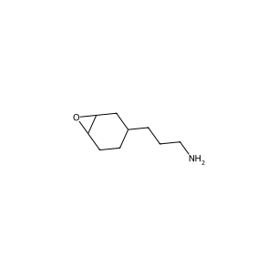 NCCCC1CCC2OC2C1